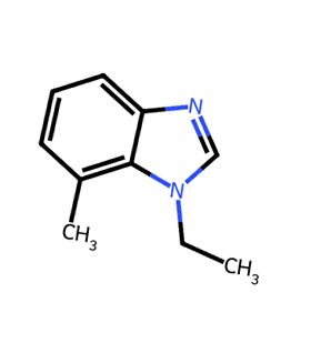 CCn1cnc2cccc(C)c21